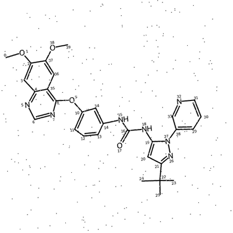 COc1cc2ncnc(Oc3cccc(NC(=O)Nc4cc(C(C)(C)C)nn4-c4cccnc4)c3)c2cc1OC